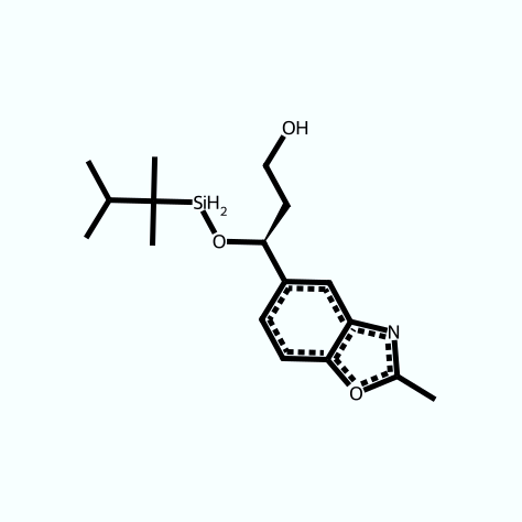 Cc1nc2cc([C@H](CCO)O[SiH2]C(C)(C)C(C)C)ccc2o1